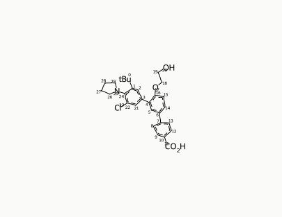 CC(C)(C)c1cc(-c2cc(-c3ccc(C(=O)O)cc3)ccc2OCCO)cc(Cl)c1N1CCCC1